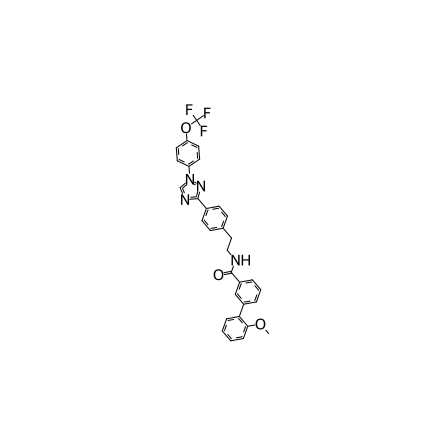 COc1ccccc1-c1cccc(C(=O)NCCc2ccc(-c3ncn(-c4ccc(OC(F)(F)F)cc4)n3)cc2)c1